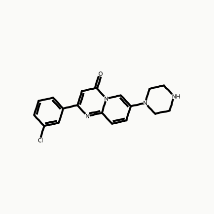 O=c1cc(-c2cccc(Cl)c2)nc2ccc(N3CCNCC3)cn12